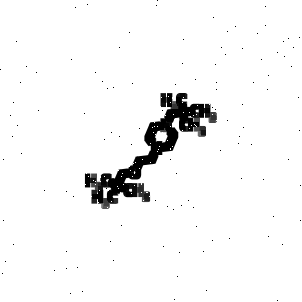 CC(C)(C)COCCN1CCN(CC(C)(C)C)CC1